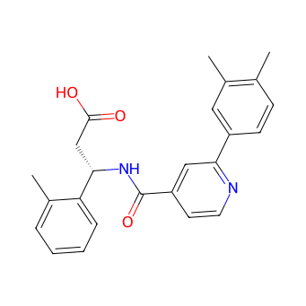 Cc1ccc(-c2cc(C(=O)N[C@@H](CC(=O)O)c3ccccc3C)ccn2)cc1C